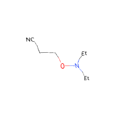 CCN(CC)OCCC#N